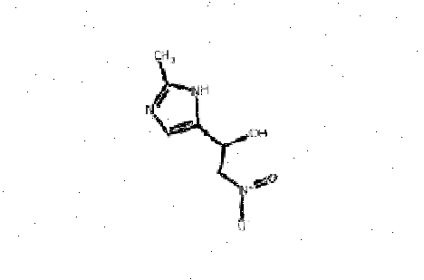 Cc1ncc(C(O)C[N+](=O)[O-])[nH]1